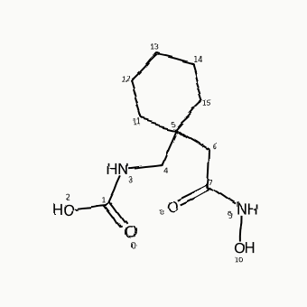 O=C(O)NCC1(CC(=O)NO)CCCCC1